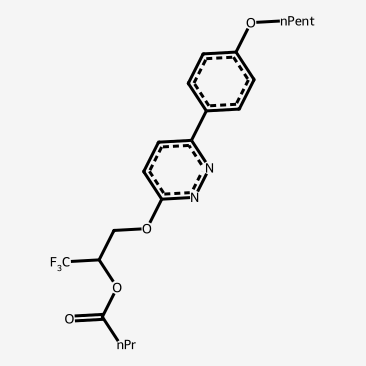 CCCCCOc1ccc(-c2ccc(OCC(OC(=O)CCC)C(F)(F)F)nn2)cc1